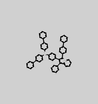 c1ccc(-c2ccc(-c3c(-c4ccc(N(c5ccc(-c6ccccc6)cc5)c5ccc(-c6ccccc6)cc5)cc4)c(-c4ccccc4)c4ccccn34)cc2)cc1